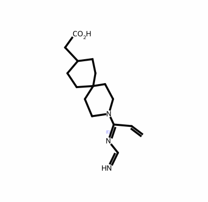 C=C/C(=N\C=N)N1CCC2(CCC(CC(=O)O)CC2)CC1